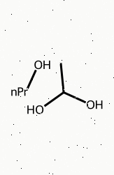 CC(O)O.CCCO